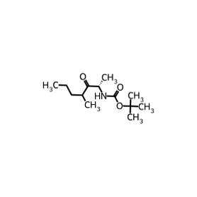 CCCC(C)C(=O)[C@H](C)NC(=O)OC(C)(C)C